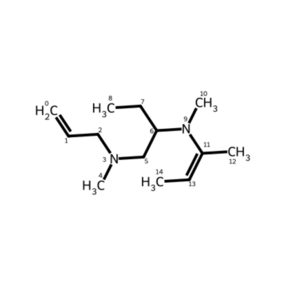 C=CCN(C)CC(CC)N(C)/C(C)=C\C